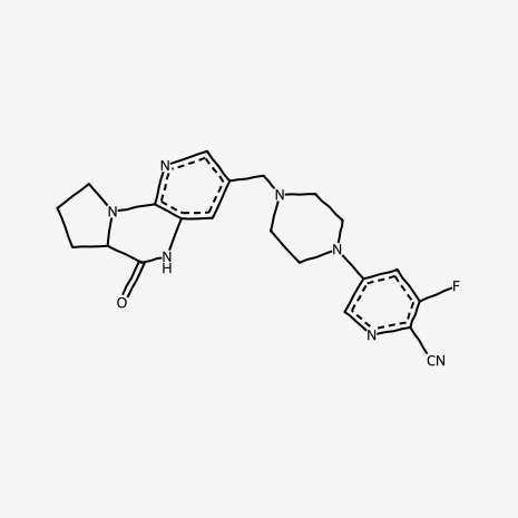 N#Cc1ncc(N2CCN(Cc3cnc4c(c3)NC(=O)C3CCCN43)CC2)cc1F